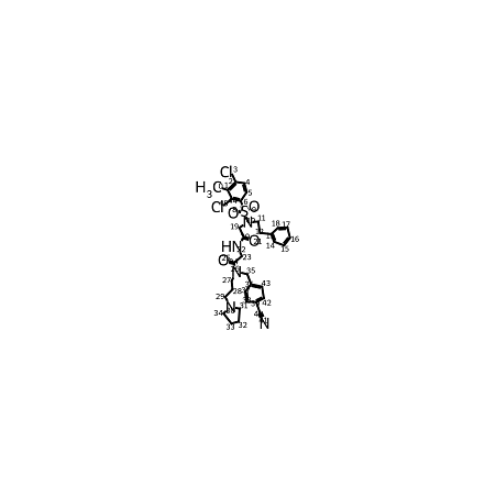 Cc1c(Cl)ccc(S(=O)(=O)N(CCc2ccccc2)CC(=O)NCC(=O)N(CCCN2CCCC2)Cc2ccc(C#N)cc2)c1Cl